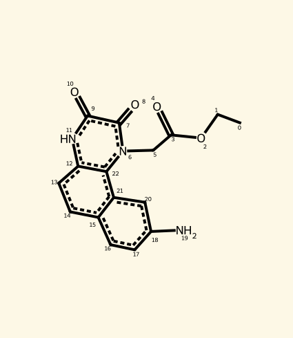 CCOC(=O)Cn1c(=O)c(=O)[nH]c2ccc3ccc(N)cc3c21